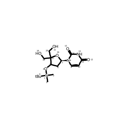 CC(C)(C)[Si](C)(C)OC1C[C@H](n2ccc(=O)[nH]c2=O)OC1(CO)CO